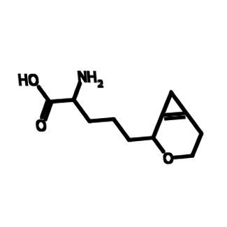 NC(CCCC1OCCC2=C1C2)C(=O)O